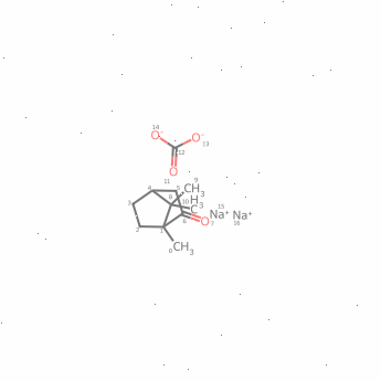 CC12CCC(CC1=O)C2(C)C.O=C([O-])[O-].[Na+].[Na+]